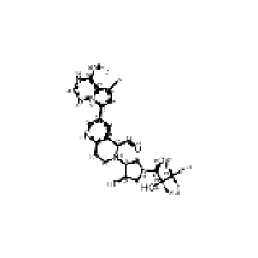 Cc1cc(-c2cnc3c(c2)C(C=O)N(C2CN(C(=O)[C@@](C)(O)C(F)(F)F)CC2F)CC3)n2ncnc(N)c12